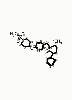 C[C@@H]1CCC(c2ccccc2)S(=O)(=O)N1Cc1ccc(OC2CCN(S(C)(=O)=O)CC2)nc1